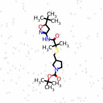 CC(C)(C)OC(=O)N1CCC(CSC(C)(C)C(=O)NC2=NOC(C(C)(C)C)C2)C1